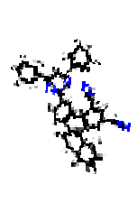 N#Cc1cc(C#N)cc(-c2c(-c3ccc(-c4nc(-c5ccccc5)cc(-c5ccccc5)n4)cc3)ccc3ccccc23)c1